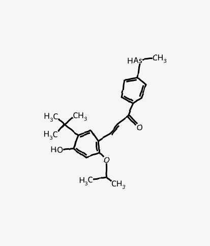 C[AsH]c1ccc(C(=O)/C=C/c2cc(C(C)(C)C)c(O)cc2OC(C)C)cc1